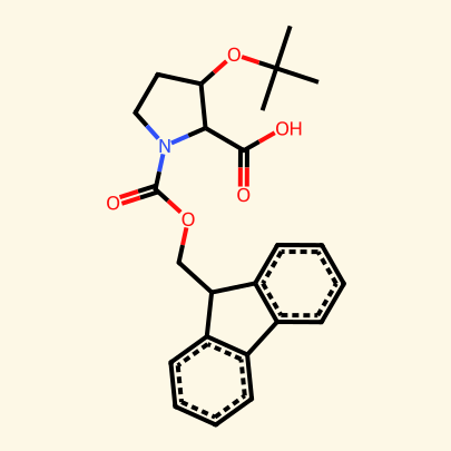 CC(C)(C)OC1CCN(C(=O)OCC2c3ccccc3-c3ccccc32)C1C(=O)O